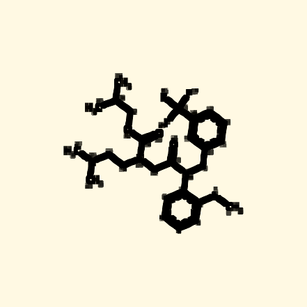 CSc1ccccc1N(Cc1cccc(C(F)(F)F)c1)C(=O)CN(CCN(C)C)C(=O)OCC(C)C